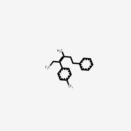 CC(CCc1ccccc1)=C(CC(F)(F)F)c1ccc(C(F)(F)F)cc1